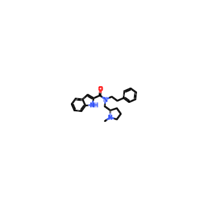 CN1CCCC1CN(CCc1ccccc1)C(=O)c1cc2ccccc2[nH]1